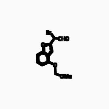 COCOc1cccc2oc(C(Br)C=O)cc12